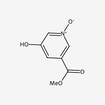 COC(=O)c1cc(O)c[n+]([O-])c1